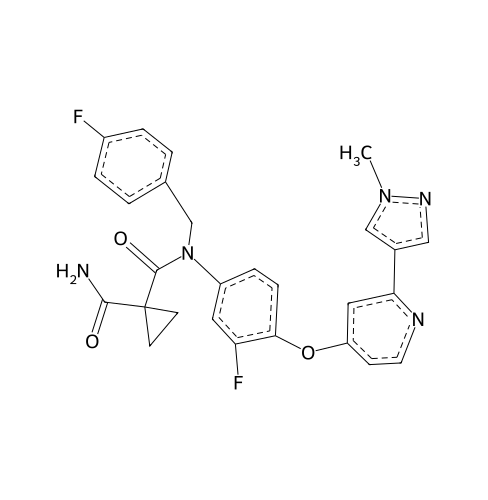 Cn1cc(-c2cc(Oc3ccc(N(Cc4ccc(F)cc4)C(=O)C4(C(N)=O)CC4)cc3F)ccn2)cn1